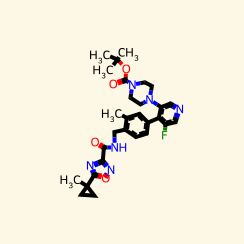 Cc1cc(-c2c(F)cncc2N2CCN(C(=O)OC(C)(C)C)CC2)ccc1CNC(=O)c1noc(C2(C)CC2)n1